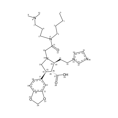 CCCCN(CCCN(C)C)C(=O)CN1C[C@H](c2ccc3c(c2)OCO3)[C@@H](C(=O)O)[C@@H]1CCn1ccnc1